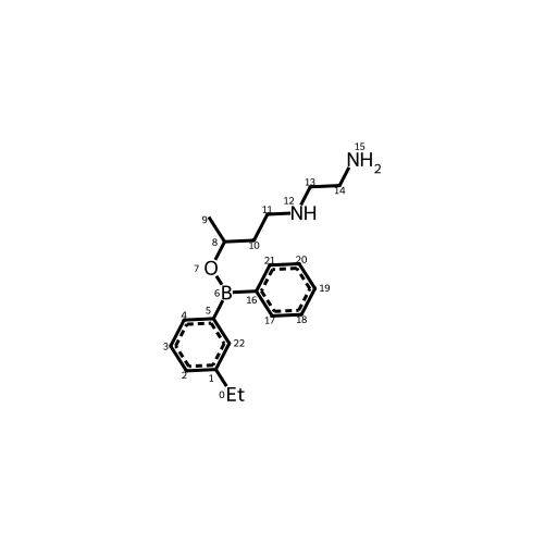 CCc1cccc(B(OC(C)CCNCCN)c2ccccc2)c1